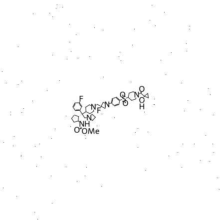 COC(=O)N[C@H]1CCC[C@@H]1C(CN1CCC1)(c1cccc(F)c1)C1CCN(CC2(F)CN(c3ccc(S(=O)(=O)C4CCN(C(=O)C5(O)CC5)CC4)cc3)C2)CC1